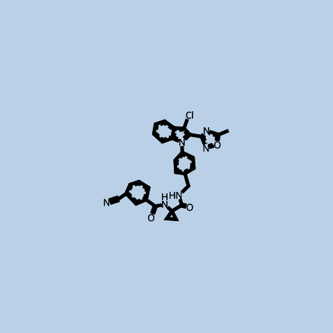 Cc1nc(-c2c(Cl)c3ccccc3n2-c2ccc(CNC(=O)C3(NC(=O)c4cccc(C#N)c4)CC3)cc2)no1